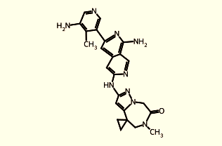 Cc1c(N)cncc1-c1cc2cc(Nc3cc4n(n3)CC(=O)N(C)CC43CC3)ncc2c(N)n1